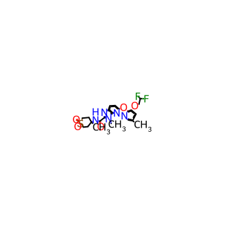 Cc1cnc(Oc2ccc3nc(C(=O)NC4(C)CCS(=O)(=O)CC4)n(C)c3n2)c(OCC(F)F)c1